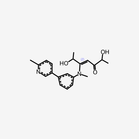 Cc1ccc(-c2cccc(N(C)/C(=C\C(=O)C(C)O)C(C)O)c2)cn1